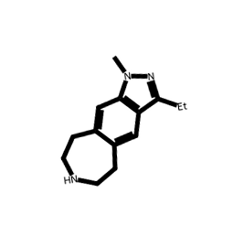 CCc1nn(C)c2cc3c(cc12)CCNCC3